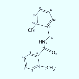 [CH2]c1ccccc1C(=O)NCc1ccccc1Cl